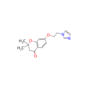 CC1(C)CC(=O)c2ccc(OCCn3ccnc3)cc2O1